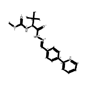 COC(=O)N[C@H](C(=O)NN=Cc1ccc(-c2ccccn2)cc1)C(C)(C)C